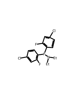 CCN(CC)P(c1ccc(Cl)cc1F)c1ccc(Cl)cc1F